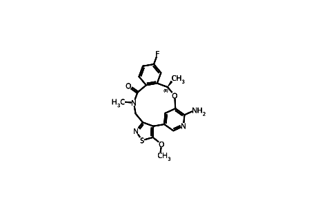 COc1snc2c1-c1cnc(N)c(c1)O[C@H](C)c1cc(F)ccc1C(=O)N(C)C2